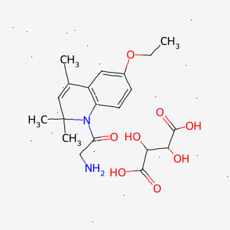 CCOc1ccc2c(c1)C(C)=CC(C)(C)N2C(=O)CN.O=C(O)C(O)C(O)C(=O)O